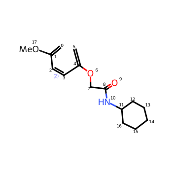 C=C(/C=C\C(=C)OCC(=O)NC1CCCCC1)OC